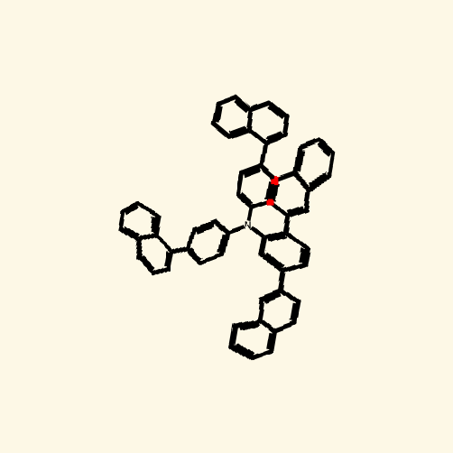 c1ccc2cc(-c3ccc(-c4ccc5ccccc5c4)c(N(c4ccc(-c5cccc6ccccc56)cc4)c4ccc(-c5cccc6ccccc56)cc4)c3)ccc2c1